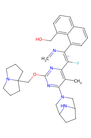 C=N/C(=C(/F)c1nc(OCC23CCCN2CCC3)nc(N2CC3CCC(C2)N3)c1C)c1cccc2cccc(CO)c12